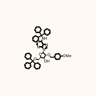 COc1ccc(CO[C@@H]2[C@H](O)[C@@H](COC(c3ccccc3)(c3ccccc3)c3ccccc3)O[C@H]2n2cnc3c(NC(c4ccccc4)(c4ccccc4)c4ccccc4)ncnc32)cc1